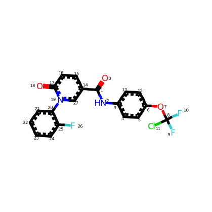 O=C(Nc1ccc(OC(F)(F)Cl)cc1)c1ccc(=O)n(-c2ccccc2F)c1